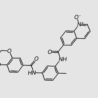 Cc1ccc(NC(=O)c2ccc3c(c2)OCCO3)cc1NC(=O)c1ccc2c(ccc[n+]2[O-])c1